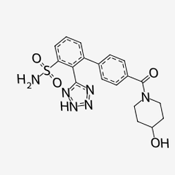 NS(=O)(=O)c1cccc(-c2ccc(C(=O)N3CCC(O)CC3)cc2)c1-c1nn[nH]n1